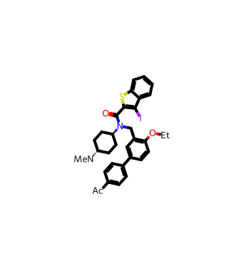 CCOc1ccc(-c2ccc(C(C)=O)cc2)cc1CN(C(=O)c1sc2ccccc2c1I)[C@H]1CC[C@H](NC)CC1